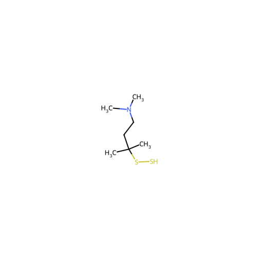 CN(C)CCC(C)(C)SS